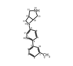 Cc1cccc(-c2ccc(N3CC4CNCC43)cn2)c1